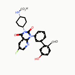 O=Cc1ccc(O)cc1-c1cccc(-n2c(=O)n([C@H]3CC[C@@H](NC(=O)O)CC3)c(=O)c3cc(F)cnc32)c1